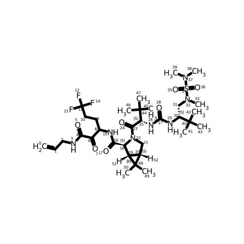 C=CCNC(=O)C(=O)C(CCC(F)(F)F)NC(=O)[C@@H]1[C@@H]2[C@H](CN1C(=O)[C@@H](NC(=O)N[C@H](CN(C)S(=O)(=O)N(C)C)C(C)(C)C)C(C)(C)C)C2(C)C